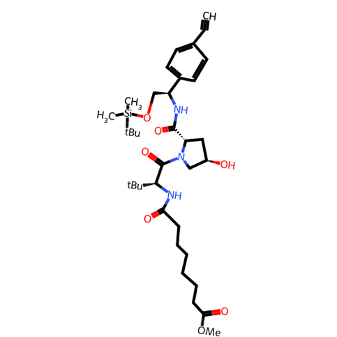 C#Cc1ccc([C@H](CO[Si](C)(C)C(C)(C)C)NC(=O)[C@@H]2C[C@@H](O)CN2C(=O)[C@@H](NC(=O)CCCCCCC(=O)OC)C(C)(C)C)cc1